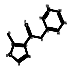 Cc1occc1C(=O)Cc1cccnc1